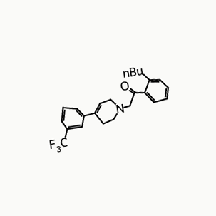 CCCCc1ccccc1C(=O)CN1CC=C(c2cccc(C(F)(F)F)c2)CC1